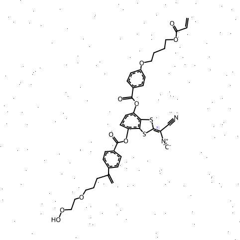 [C-]#[N+]/C(C#N)=C1/Sc2c(OC(=O)c3ccc(OCCCCOC(=O)C=C)cc3)ccc(OC(=O)c3ccc(C(=C)CCCOCCOO)cc3)c2S1